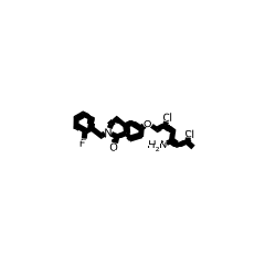 CC(Cl)/C=C(N)\C=C(\Cl)COc1ccc2c(c1)CCN(Cc1ccccc1F)C2=O